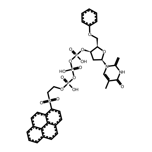 C=C1NC(=O)C(C)=CN1[C@H]1C[C@@H](OP(=O)(O)OP(=O)(O)OP(=O)(O)OCCS(=O)(=O)c2ccc3ccc4cccc5ccc2c3c45)[C@@H](COc2ccccc2)O1